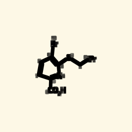 CC(C)CSc1nc(C(=O)O)ccc1Br